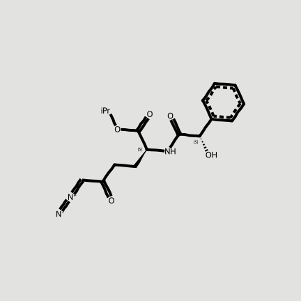 CC(C)OC(=O)[C@H](CCC(=O)C=[N+]=[N-])NC(=O)[C@@H](O)c1ccccc1